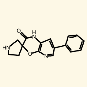 O=C1Nc2cc(-c3ccccc3)cnc2OC12CCNC2